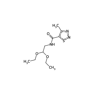 CCOC(CNC(=O)c1snnc1C)OCC